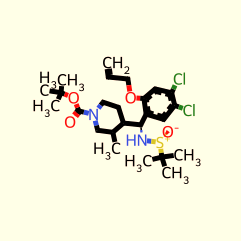 C=CCOc1cc(Cl)c(Cl)cc1[C@H](N[S@@+]([O-])C(C)(C)C)C1CCN(C(=O)OC(C)(C)C)CC1C